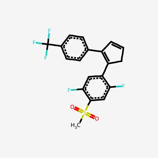 CS(=O)(=O)c1cc(F)c(C2=C(c3ccc(C(F)(F)F)cc3)C=CC2)cc1F